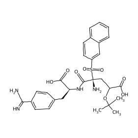 CC(C)(C)OC(C[C@](N)(C(=O)N[C@@H](Cc1ccc(C(=N)N)cc1)C(=O)O)S(=O)(=O)c1ccc2ccccc2c1)C(=O)O